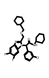 O=C(NC1CCCCC1)C(c1cccc(Cl)c1)n1c(COCC2CCCCC2)nc2cc(F)c(F)cc21